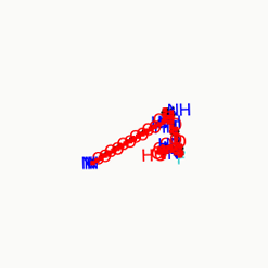 CC[C@@]1(O)C(=O)OCc2c1cc1n(c2=O)Cc2c-1nc1cc(F)c(C)c3c1c2[C@@H](NC(=O)OCc1ccc(NC(=O)[C@H](CCCCNC)NC(=O)[C@H](Cc2ccccc2)NC(=O)CCOCCOCCOCCOCCOCCOCCOCCOCCOCCOCCN=[N+]=[N-])cc1)CC3